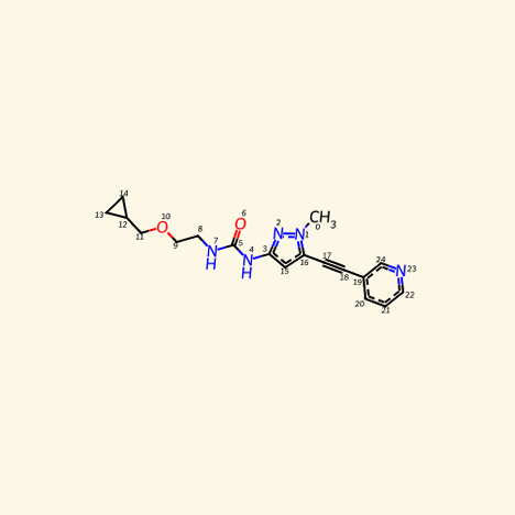 Cn1nc(NC(=O)NCCOCC2CC2)cc1C#Cc1cccnc1